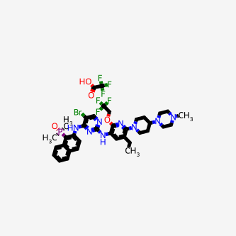 CCc1cc(Nc2ncc(Br)c(Nc3ccc4ccccc4c3P(C)(C)=O)n2)c(OCC(F)(F)F)nc1N1CCC(N2CCN(C)CC2)CC1.O=C(O)C(F)(F)F